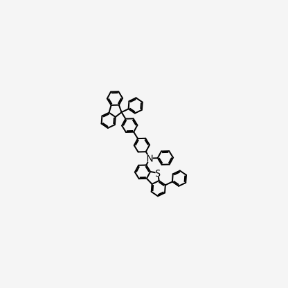 C1=CC(N(c2ccccc2)c2cccc3c2sc2c(-c4ccccc4)cccc23)CC=C1c1ccc(C2(c3ccccc3)c3ccccc3-c3ccccc32)cc1